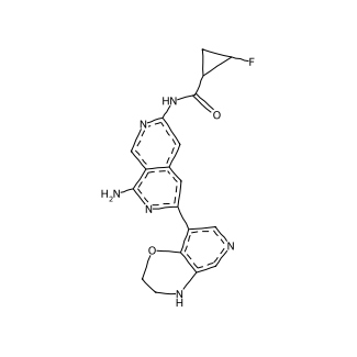 Nc1nc(-c2cncc3c2OCCN3)cc2cc(NC(=O)C3CC3F)ncc12